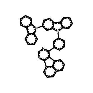 c1cc(-c2ncnc3c2-c2cccc4cccc-3c24)cc(-n2c3ccccc3c3ccc(-n4c5ccccc5c5ccccc54)cc32)c1